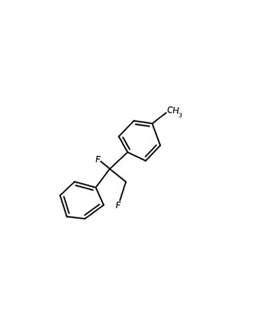 Cc1ccc(C(F)(CF)c2ccccc2)cc1